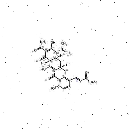 COC(=O)/C=C/c1ccc(O)c2c1C[C@H]1C[C@H]3[C@@H](N(C)C)C(O)=C(C(N)=O)C(=O)[C@@]3(O)C(O)=C1C2=O